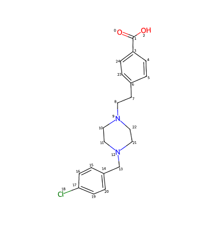 O=C(O)c1ccc(CCN2CCN(Cc3ccc(Cl)cc3)CC2)cc1